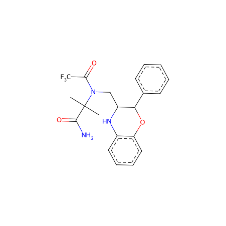 CC(C)(C(N)=O)N(CC1Nc2ccccc2OC1c1ccccc1)C(=O)C(F)(F)F